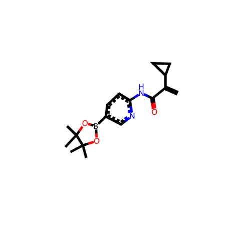 C=C(C(=O)Nc1ccc(B2OC(C)(C)C(C)(C)O2)cn1)C1CC1